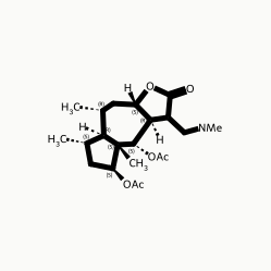 CNCC1C(=O)O[C@H]2C[C@@H](C)[C@@H]3[C@@H](C)C[C@H](OC(C)=O)[C@@]3(C)[C@@H](OC(C)=O)[C@H]12